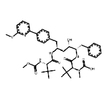 COC(=O)N[C@H](C(=O)N[C@@H](Cc1ccc(-c2cccc(OC)n2)cc1)C[C@H](O)[C@H](Cc1ccccc1)NC(=O)[C@@H](N(C)C(=O)O)C(C)(C)C)C(C)(C)C